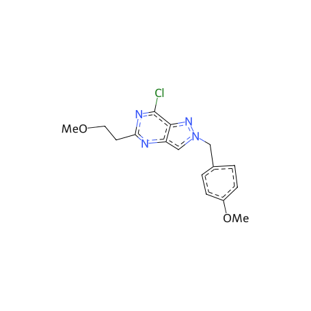 COCCc1nc(Cl)c2nn(Cc3ccc(OC)cc3)cc2n1